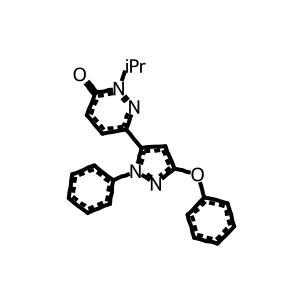 CC(C)n1nc(-c2cc(Oc3ccccc3)nn2-c2ccccc2)ccc1=O